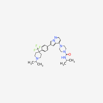 CC(C)NC(=O)N1CCN(c2ccnn3cc(-c4ccc(C5(C(F)(F)F)CCN(C(C)C)CC5)cc4)cc23)CC1